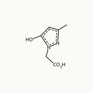 Cc1cc(O)n(CC(=O)O)n1